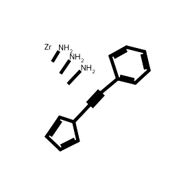 C(#CC1C=CC=C1)c1ccccc1.CN.CN.CN.[Zr]